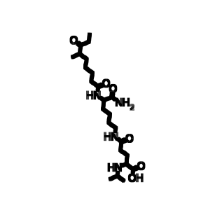 CCC(=O)C(C)CCCCC(=O)NC(CCCCNC(=O)CCC(NC(C)C)C(=O)O)C(N)=O